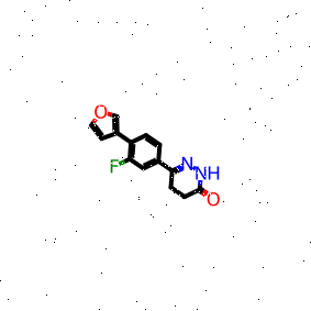 O=C1CCC(c2ccc(-c3ccoc3)c(F)c2)=NN1